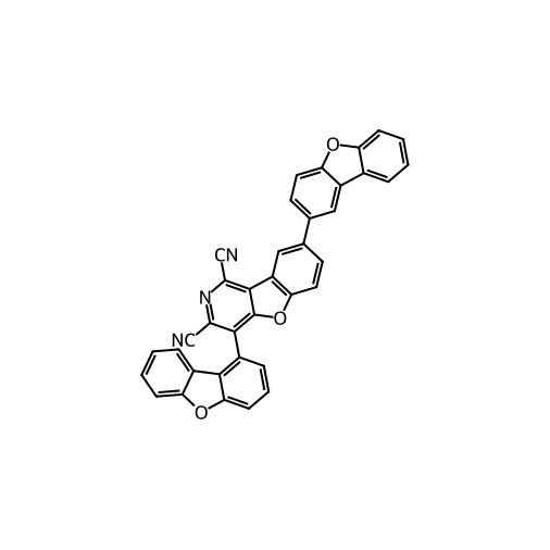 N#Cc1nc(C#N)c2c(oc3ccc(-c4ccc5oc6ccccc6c5c4)cc32)c1-c1cccc2oc3ccccc3c12